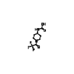 O=C(O)NC1CCN(C(=O)C(F)(F)F)CC1